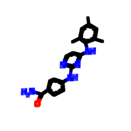 Cc1cc(C)c(Nc2ccnc(Nc3ccc(C(N)=O)cc3)n2)c(C)c1